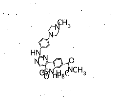 CCCN1c2cc(C(=O)N(C)C)ccc2-c2nc(Nc3ccc(N4CCN(C)CC4)cc3)ncc2S1(=O)=O